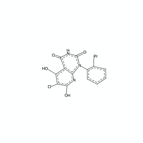 CC(C)c1ccccc1-n1c(=O)[nH]c(=O)c2c(O)c(Cl)c(O)nc21